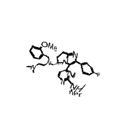 CCCNc1nccc(-c2c(-c3ccc(F)cc3)nc3n2[C@H](CN(CCN(C)C)Cc2ccccc2OC)CC3)n1